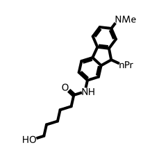 CCCC1c2cc(NC)ccc2-c2ccc(NC(=O)CCCCCO)cc21